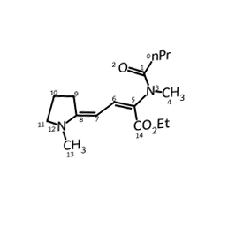 CCCC(=O)N(C)/C(=C/C=C1\CCCN1C)C(=O)OCC